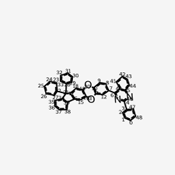 c1ccc(-c2nc(-c3ccc4c(c3)Oc3cc5c(cc3O4)C(c3ccccc3)(c3ccccc3)c3ccccc3-5)c3ccccc3n2)cc1